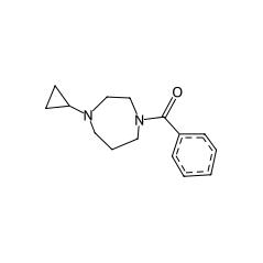 O=C(c1ccccc1)N1CCCN(C2CC2)CC1